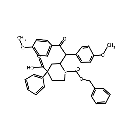 COc1ccc(C(=O)C(c2ccc(OC)cc2)C2CC(C(=O)O)(c3ccccc3)CCN2C(=O)OCc2ccccc2)cc1